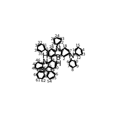 B1c2cc(N(c3ccccc3)c3ccccc3)ccc2N(c2ccccc2)c2cc(-c3ccccc3)cc(-c3cccc4c3Nc3ccccc3[Si]4(c3ccccc3)c3ccccc3)c21